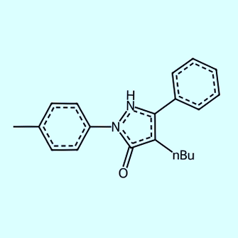 CCCCc1c(-c2ccccc2)[nH]n(-c2ccc(C)cc2)c1=O